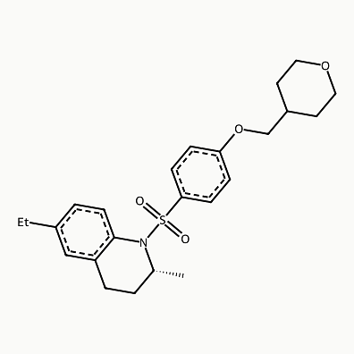 CCc1ccc2c(c1)CC[C@@H](C)N2S(=O)(=O)c1ccc(OCC2CCOCC2)cc1